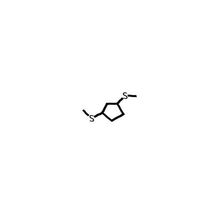 CSC1CCC(SC)C1